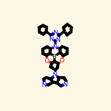 c1ccc(-c2nc(-c3ccccc3)nc(N3c4cccc5c4B4c6c(cc(-n7c8ccncc8c8cnccc87)cc6Oc6cccc3c64)O5)n2)cc1